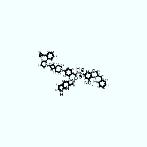 O=C(NS(=O)(=O)c1cc([N+](=O)[O-])c2c(n1)OCC(Cc1ccccc1)N2)c1ccc(N2CCC3(CC2)CC(N2CCC[C@H]2c2ccccc2C2CC2)C3)cc1-n1ncc2nc3[nH]ccc3cc21